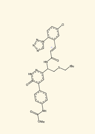 COC(=O)Nc1ccc(-c2cc(C(CSCC(C)(C)C)NC(=O)/C=C/c3cc(Cl)ccc3-n3cnnn3)n[nH]c2=O)cc1